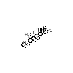 CNS(=O)(=O)Nc1cccc(C(F)c2c(C)c3ccc(Oc4ncccn4)cc3oc2=O)c1